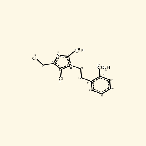 CCCCc1nc(CCl)c(Cl)n1CCc1ccccc1C(=O)O